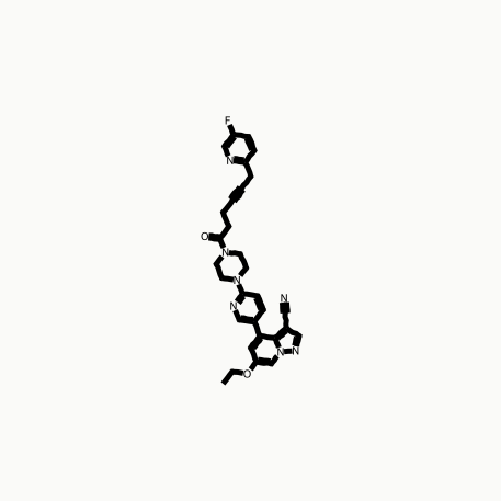 CCOc1cc(-c2ccc(N3CCN(C(=O)CCC#CCc4ccc(F)cn4)CC3)nc2)c2c(C#N)cnn2c1